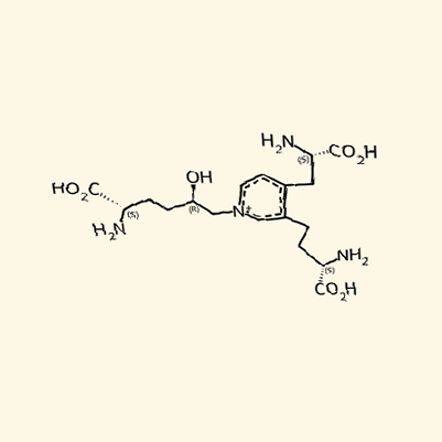 N[C@@H](CCc1c[n+](C[C@H](O)CC[C@H](N)C(=O)O)ccc1C[C@H](N)C(=O)O)C(=O)O